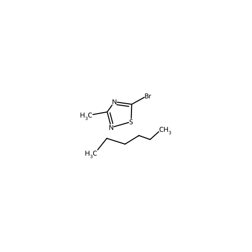 CCCCCC.Cc1nsc(Br)n1